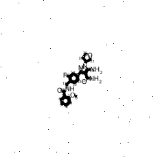 COc1ccccc1C(=O)NCc1ccc(-c2nn(C3CCOC3)c(N)c2C(N)=O)cc1F